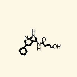 O=C(/C=C/CO)Nc1c[nH]c2ncc(-c3ccccc3)cc12